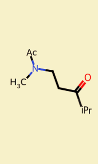 CC(=O)N(C)CCC(=O)C(C)C